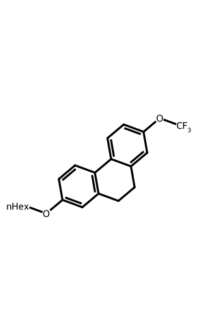 CCCCCCOc1ccc2c(c1)CCc1cc(OC(F)(F)F)ccc1-2